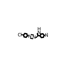 CN(C)c1ccc2c(CN3CCN(c4ccc(Cl)cc4)CC3)c[nH]c2c1